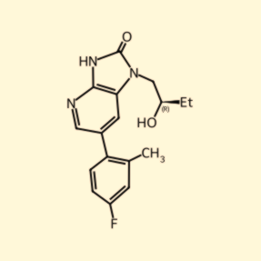 CC[C@@H](O)Cn1c(=O)[nH]c2ncc(-c3ccc(F)cc3C)cc21